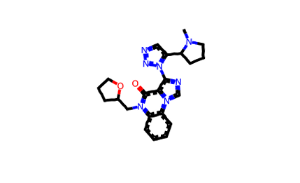 CN1CCCC1c1cnnn1-c1ncn2c1c(=O)n(CC1CCCO1)c1ccccc12